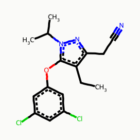 CCc1c(CC#N)nn(C(C)C)c1Oc1cc(Cl)cc(Cl)c1